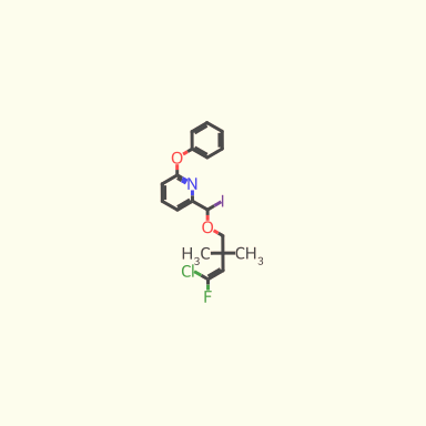 CC(C)(C=C(F)Cl)COC(I)c1cccc(Oc2ccccc2)n1